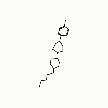 CCCCC[C@H]1CC[C@H](C2CCC(c3ccc(C)cc3)CC2)CC1